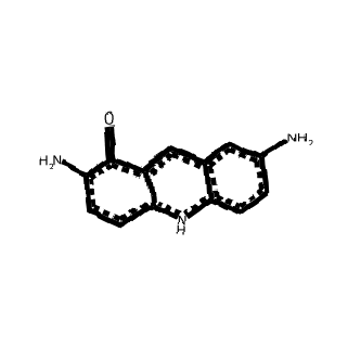 Nc1ccc2[nH]c3ccc(N)c(=O)c-3cc2c1